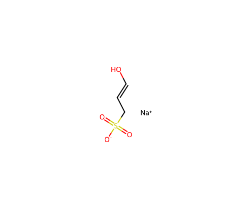 O=S(=O)([O-])CC=CO.[Na+]